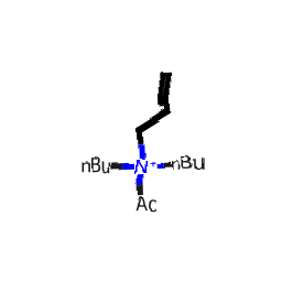 C=CC[N+](CCCC)(CCCC)C(C)=O